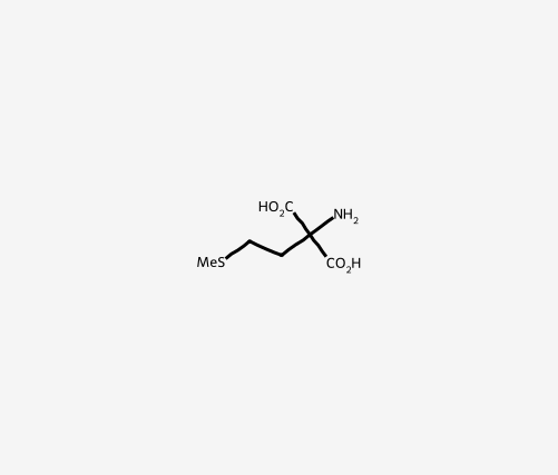 CSCCC(N)(C(=O)O)C(=O)O